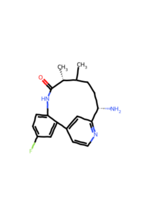 CC1CC[C@H](N)c2cc(ccn2)-c2cc(F)ccc2NC(=O)[C@@H]1C